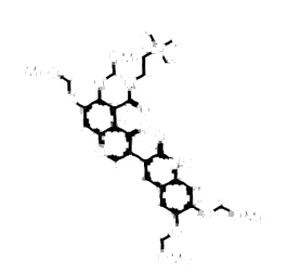 COCOc1cc2cc(-c3coc4cc(OCOC)c(OCOC)c(C(=O)OCC[Si](C)(C)C)c4c3=O)c(=O)[nH]c2cc1OCOC